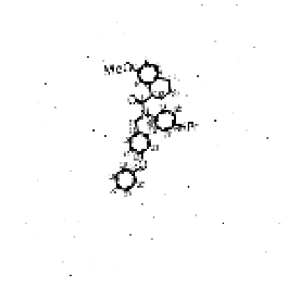 COc1ccc2c(c1)C(C(=O)N(Cc1ccc(Oc3ccccc3)cc1)c1ccc(C(C)C)cc1)CCC2